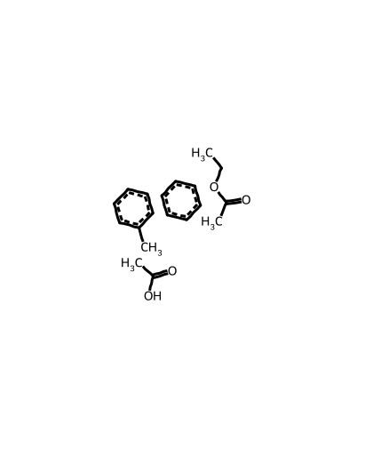 CC(=O)O.CCOC(C)=O.Cc1ccccc1.c1ccccc1